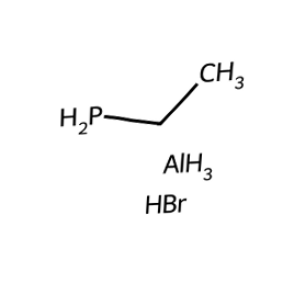 Br.CCP.[AlH3]